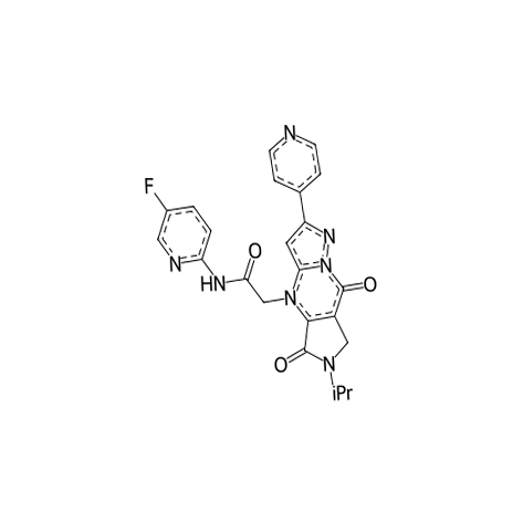 CC(C)N1Cc2c(n(CC(=O)Nc3ccc(F)cn3)c3cc(-c4ccncc4)nn3c2=O)C1=O